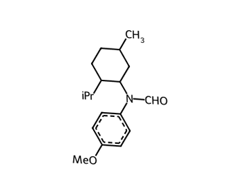 COc1ccc(N(C=O)C2CC(C)CCC2C(C)C)cc1